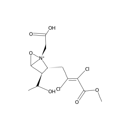 COC(=O)/C(Cl)=C(\Cl)C[C@@H]1[C@@H](C(C)O)C2O[N@@+]21CC(=O)O